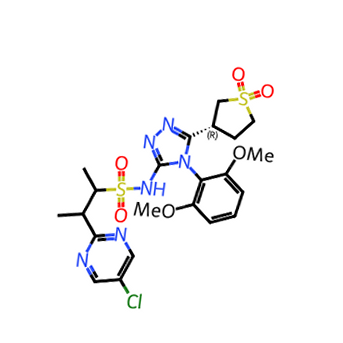 COc1cccc(OC)c1-n1c(NS(=O)(=O)C(C)C(C)c2ncc(Cl)cn2)nnc1[C@H]1CCS(=O)(=O)C1